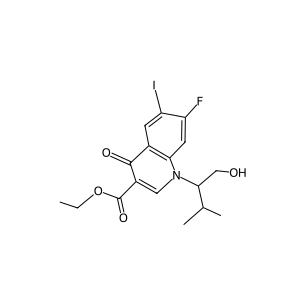 CCOC(=O)c1cn(C(CO)C(C)C)c2cc(F)c(I)cc2c1=O